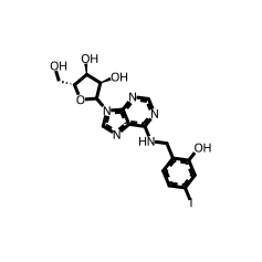 OC[C@H]1OC(n2cnc3c(NCc4ccc(I)cc4O)ncnc32)[C@H](O)[C@@H]1O